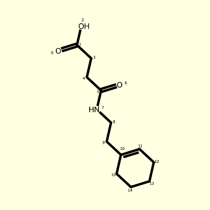 O=C(O)CCC(=O)NCCC1=CCCCC1